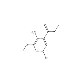 CCC(=O)c1cc(Br)cc(OC)c1N